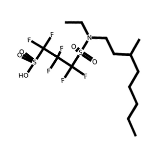 CCCCCC(C)CCN(CC)S(=O)(=O)C(F)(F)C(F)(F)C(F)(F)S(=O)(=O)O